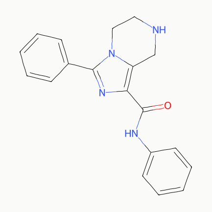 O=C(Nc1ccccc1)c1nc(-c2ccccc2)n2c1CNCC2